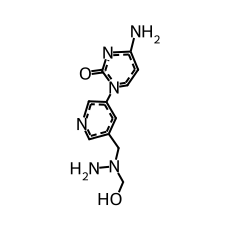 Nc1ccn(-c2cncc(CN(N)CO)c2)c(=O)n1